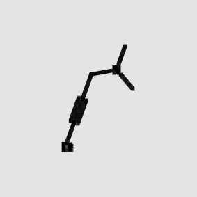 [CH2]CC#CCN(C)C